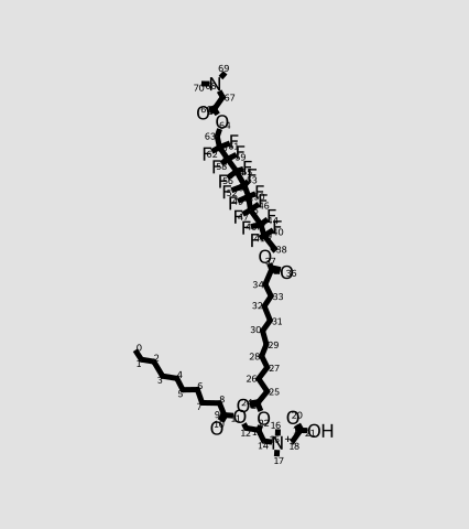 CCCCCCCCCC(=O)OCC(C[N+](C)(C)CC(=O)O)OC(=O)CCCCCCCCCCC(=O)OCC(F)(F)C(F)(F)C(F)(F)C(F)(F)C(F)(F)C(F)(F)C(F)(F)C(F)(F)COC(=O)CN(C)C